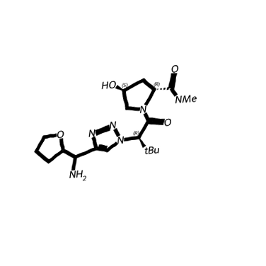 CNC(=O)[C@H]1C[C@H](O)CN1C(=O)[C@H](n1cc(C(N)C2CCCO2)nn1)C(C)(C)C